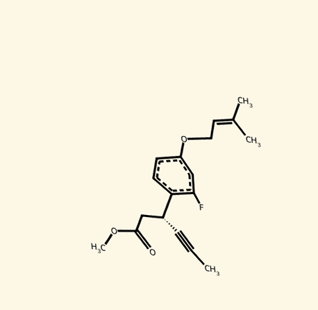 CC#C[C@H](CC(=O)OC)c1ccc(OCC=C(C)C)cc1F